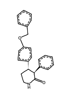 O=C1NCC[C@H](c2ccc(OCc3ccccc3)cc2)[C@H]1c1ccccc1